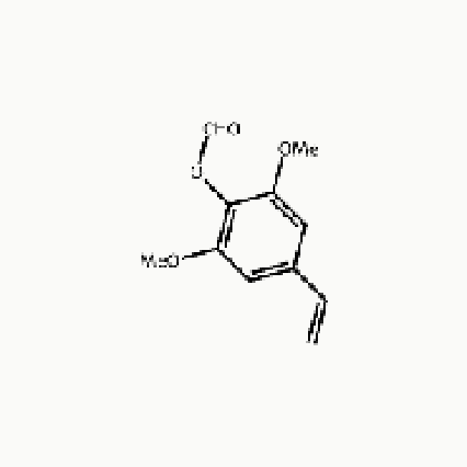 C=Cc1cc(OC)c(OC=O)c(OC)c1